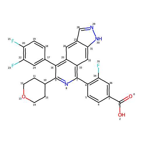 O=C(O)c1ccc(-c2nc(C3CCOCC3)c(-c3ccc(F)c(F)c3)c3cc4cn[nH]c4cc23)c(F)c1